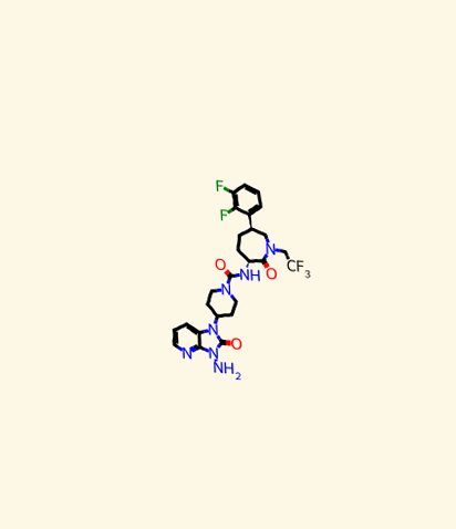 Nn1c(=O)n(C2CCN(C(=O)N[C@@H]3CC[C@@H](c4cccc(F)c4F)CN(CC(F)(F)F)C3=O)CC2)c2cccnc21